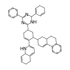 C1=CC(C2N=C(c3ccccc3)N=C(C3CC=C(C4=CC=C5CCC=CC5N4)C(C4CC=C5c6ccccc6CCC5C4)C3)N2)=CCC1